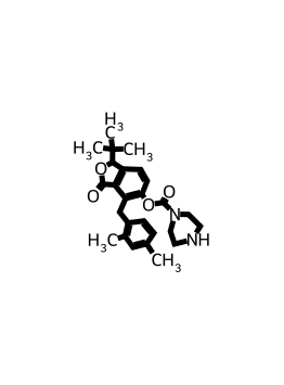 Cc1ccc(Cc2c(OC(=O)N3CCNCC3)ccc3c2C(=O)OC3C(C)(C)C)c(C)c1